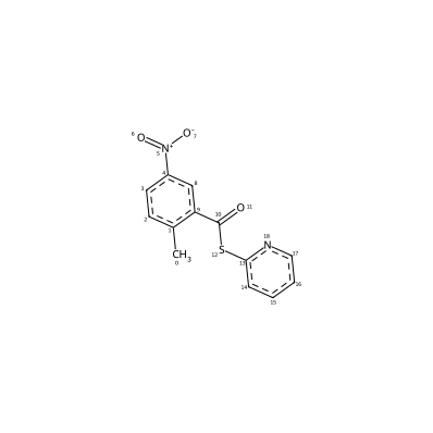 Cc1ccc([N+](=O)[O-])cc1C(=O)Sc1ccccn1